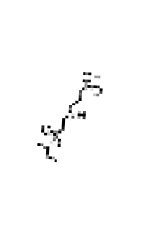 CCC(C)OC(=O)CCNCCCC(=O)O